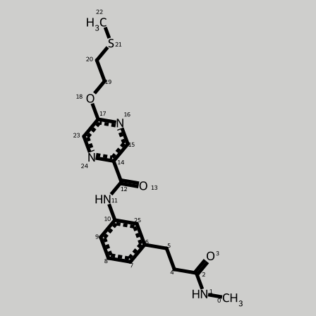 CNC(=O)CCc1cccc(NC(=O)c2cnc(OCCSC)cn2)c1